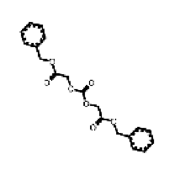 O=C(COC(=O)OCC(=O)OCc1ccccc1)OCc1ccccc1